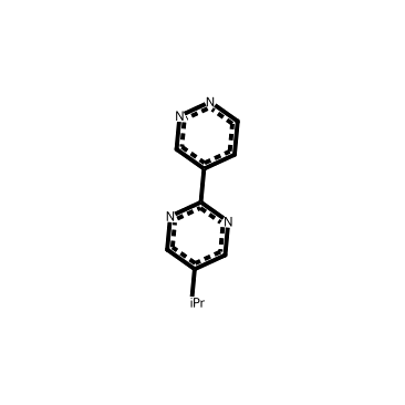 CC(C)c1cnc(-c2ccnnc2)nc1